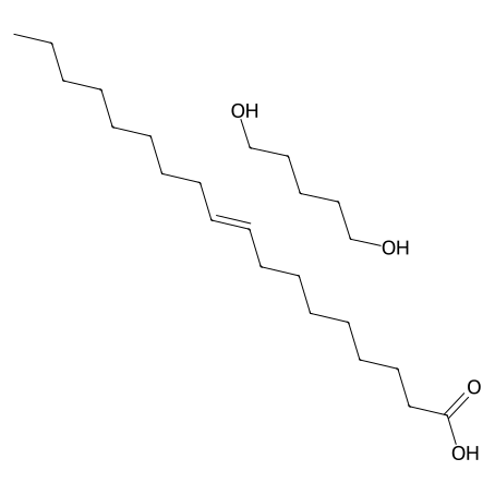 CCCCCCCCC=CCCCCCCCC(=O)O.OCCCCCO